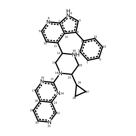 c1ccc(-c2c[nH]c3nccc(C4CN(c5ncc6ccncc6n5)C(C5CC5)CN4)c23)cc1